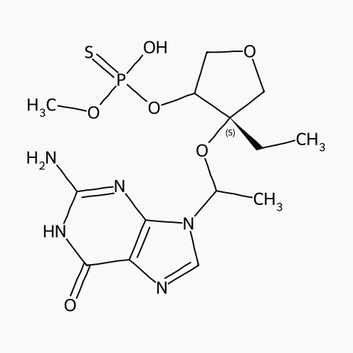 CC[C@]1(OC(C)n2cnc3c(=O)[nH]c(N)nc32)COCC1OP(O)(=S)OC